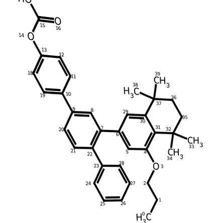 CCCOc1cc(-c2cc(-c3ccc(OC(=O)O)cc3)ccc2-c2ccccc2)cc2c1C(C)(C)CCC2(C)C